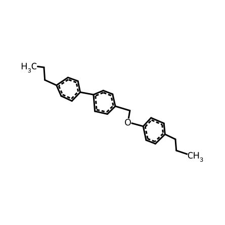 CCCc1ccc(OCc2ccc(-c3ccc(CCC)cc3)cc2)cc1